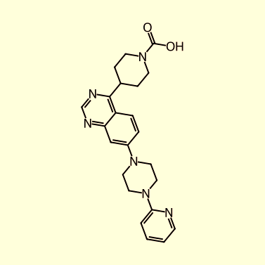 O=C(O)N1CCC(c2ncnc3cc(N4CCN(c5ccccn5)CC4)ccc23)CC1